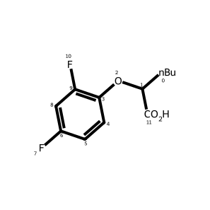 CCCCC(Oc1ccc(F)cc1F)C(=O)O